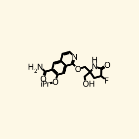 CC(C)Oc1cc2c(OCC3(CO)CC(F)C(=O)N3)nccc2cc1C(N)=O